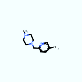 Cc1ccc(CN2CCN(C)CC2)nc1